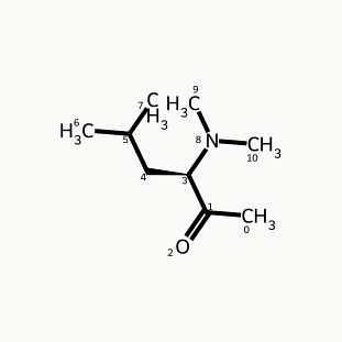 CC(=O)[C@@H](CC(C)C)N(C)C